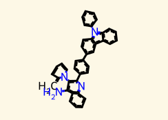 C=C1C=CC=CN1c1c(-c2ccc(-c3ccc4c(c3)c3ccccc3n4-c3ccccc3)cc2)nc2ccccc2c1N